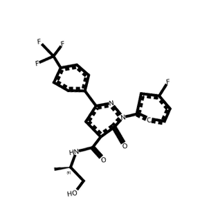 C[C@H](CO)NC(=O)c1cc(-c2ccc(C(F)(F)F)cc2)nn(-c2cccc(F)c2)c1=O